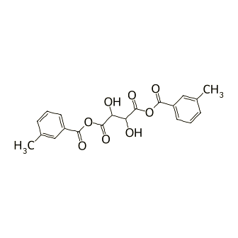 Cc1cccc(C(=O)OC(=O)C(O)C(O)C(=O)OC(=O)c2cccc(C)c2)c1